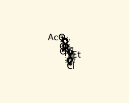 CCc1sc(-c2cc3ccc(OC(C)=O)cc3oc2=O)nc1-c1ccc(Cl)cc1